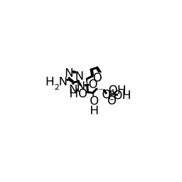 Nc1ncnc2c1ncn2[C@]1(Cc2ccco2)O[C@H](COP(=O)(O)O)[C@@H](O)[C@H]1O